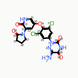 Nc1nn(-c2cc(Cl)c(Oc3c[nH]c(=O)c(N4CCCC4=O)c3)c(Cl)c2)c(=O)[nH]c1=O